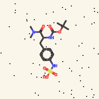 CN(C)C(=O)C(Cc1ccc(NS(=O)(=O)O)cc1)NC(=O)OC(C)(C)C